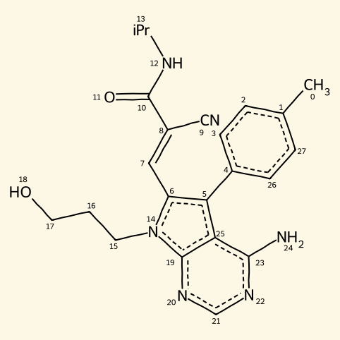 Cc1ccc(-c2c(C=C(C#N)C(=O)NC(C)C)n(CCCO)c3ncnc(N)c23)cc1